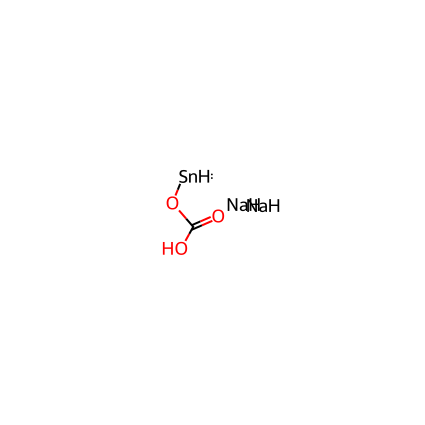 O=C(O)[O][SnH].[NaH].[NaH]